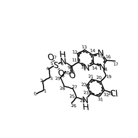 CCCCCS(=O)(=O)NC(=O)c1ccc2nc(C)n(Cc3ccc(NC(C)CCCC)cc3Cl)c2n1